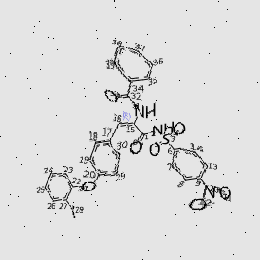 O=C(NS(=O)(=O)c1ccc([N+](=O)[O-])cc1)/C(=C\c1ccc(Oc2ccccc2I)cc1)NC(=O)c1ccccc1